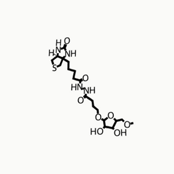 COCC1OC(OCCCC(=O)NNC(=O)CCCCC23CSC[C@H]2NC(=O)N3)C(O)C1O